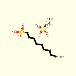 CCCCCCCCCCCCCCCCCCS(=O)(=O)[O-].CCCCCCCCS(=O)(=O)[O-].[Li+].[Li+]